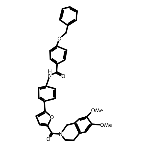 COc1cc2c(cc1OC)CN(C(=O)c1ccc(-c3ccc(NC(=O)c4ccc(OCc5ccccc5)cc4)cc3)o1)CC2